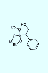 CCO[Si](OCC)(OCC)C(CO)c1ccccc1